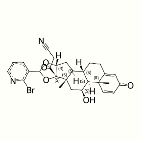 C[C@]12C=CC(=O)C=C1CC[C@@H]1[C@@H]2[C@@H](O)C[C@@]2(C)[C@H]1C[C@H]1OC(c3cccnc3Br)O[C@]12C(=O)CC#N